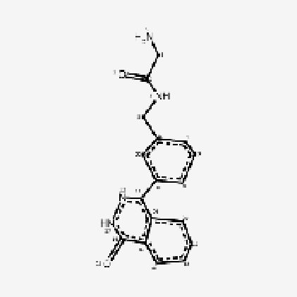 NCC(=O)NCc1cccc(-c2n[nH]c(=O)c3ccccc23)c1